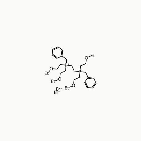 CCOCC[P+](CCOCC)(CC[P+](CCOCC)(CCOCC)Cc1ccccc1)Cc1ccccc1.[Br-].[Br-]